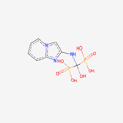 O=P(O)(O)C(O)(Nc1cn2ccccc2n1)P(=O)(O)O